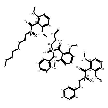 CCCCCCCC[PH](=O)C(=O)c1c(OC)cccc1OC.CCCCP(=O)(Cc1ccccc1)C(=O)c1c(OC)cccc1OC.COc1cccc(OC)c1C(=O)[PH](=O)CCc1ccccc1